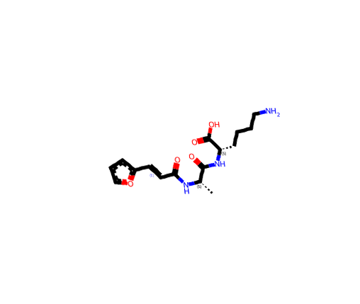 C[C@H](NC(=O)/C=C/c1ccco1)C(=O)N[C@@H](CCCCN)C(=O)O